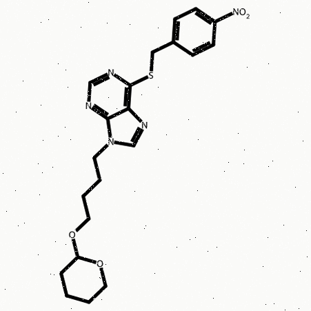 O=[N+]([O-])c1ccc(CSc2ncnc3c2ncn3CCCCOC2CCCCO2)cc1